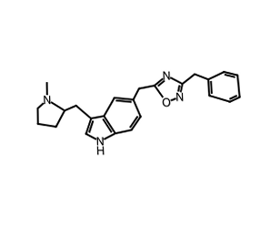 CN1CCCC1Cc1c[nH]c2ccc(Cc3nc(Cc4ccccc4)no3)cc12